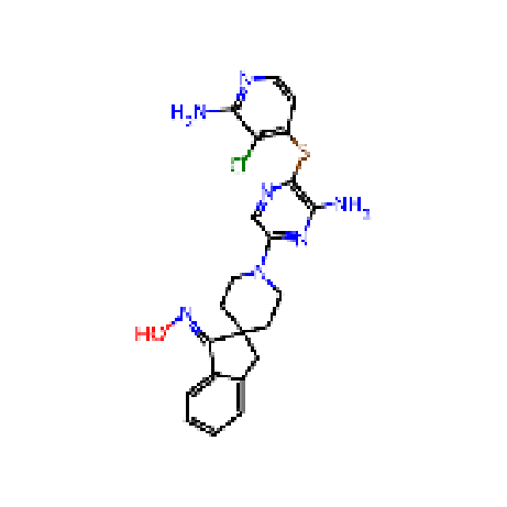 Nc1nc(N2CCC3(CC2)Cc2ccccc2C3=NO)cnc1Sc1ccnc(N)c1Cl